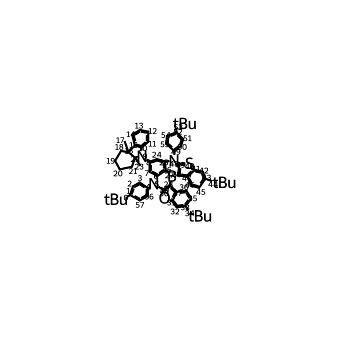 CC(C)(C)c1ccc(N2c3cc(N4c5ccccc5C5(C)CCCCC45C)cc4c3B(c3c2oc2cc(C(C)(C)C)ccc32)c2c(sc3cc(C(C)(C)C)ccc23)N4c2ccc(C(C)(C)C)cc2)cc1